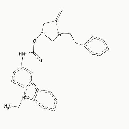 CCn1c2ccccc2c2cc(NC(=O)OC3CC(=O)N(CCc4ccccc4)C3)ccc21